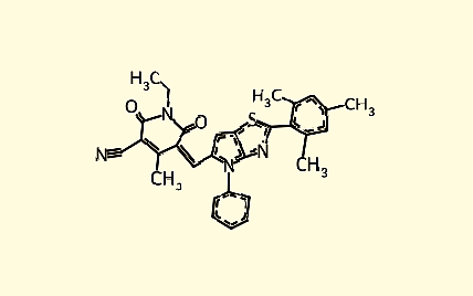 CCN1C(=O)C(C#N)=C(C)/C(=C/c2cc3sc(-c4c(C)cc(C)cc4C)nc3n2-c2ccccc2)C1=O